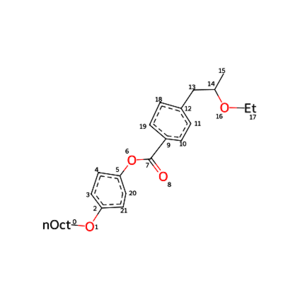 CCCCCCCCOc1ccc(OC(=O)c2ccc(CC(C)OCC)cc2)cc1